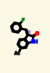 CC(=O)c1ccc2c(c1)NC(=O)/C2=C/c1ccccc1F